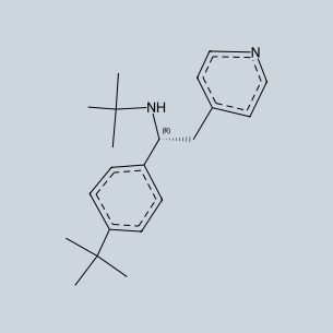 CC(C)(C)N[C@H](Cc1ccncc1)c1ccc(C(C)(C)C)cc1